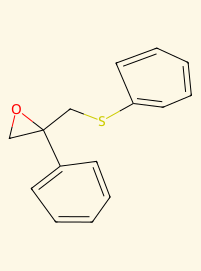 c1ccc(SCC2(c3ccccc3)CO2)cc1